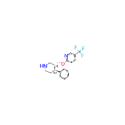 FC(F)(F)c1ccc(OC[C@H]2CNCC[C@@H]2c2ccccc2)nc1